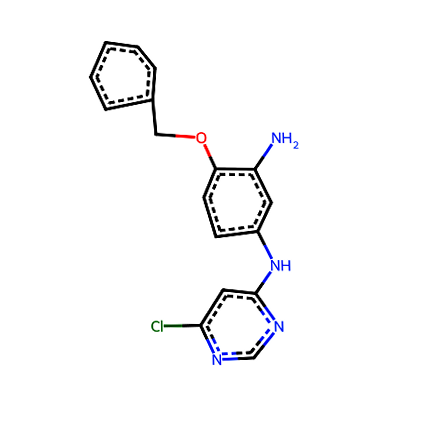 Nc1cc(Nc2cc(Cl)ncn2)ccc1OCc1ccccc1